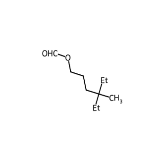 CCC(C)(CC)CCCOC=O